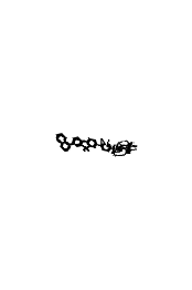 CC1(C)c2cc(-c3ccc(B4OC(C)(C)C(C)(C)O4)cn3)ccc2-c2ccc(-c3cccc4ccccc34)cc21